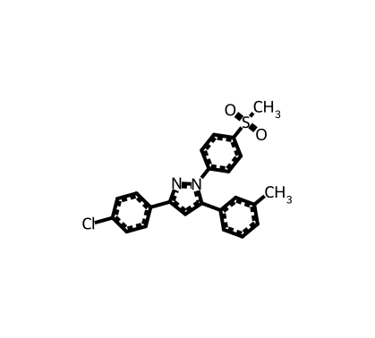 Cc1cccc(-c2cc(-c3ccc(Cl)cc3)nn2-c2ccc(S(C)(=O)=O)cc2)c1